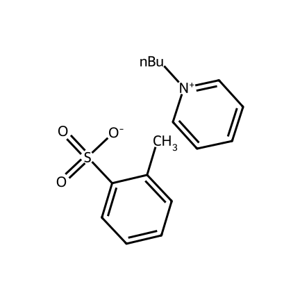 CCCC[n+]1ccccc1.Cc1ccccc1S(=O)(=O)[O-]